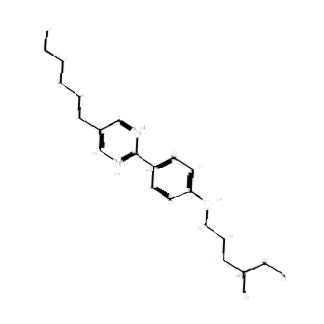 CCCCCCc1cnc(-c2ccc(OCCCC(C)CC)cc2)nc1